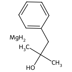 CC(C)(O)Cc1ccccc1.[MgH2]